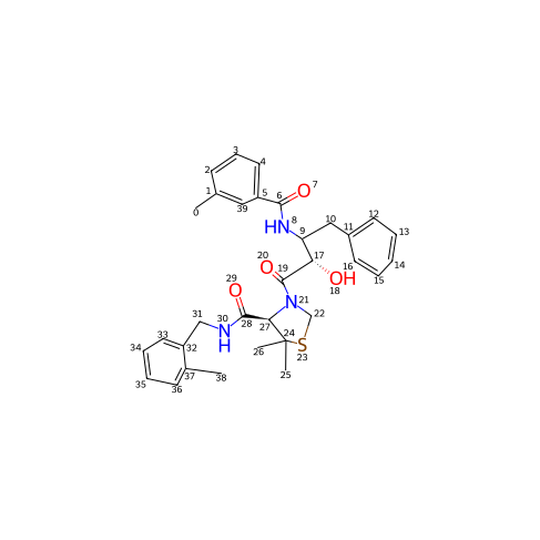 Cc1cccc(C(=O)NC(Cc2ccccc2)[C@H](O)C(=O)N2CSC(C)(C)[C@H]2C(=O)NCc2ccccc2C)c1